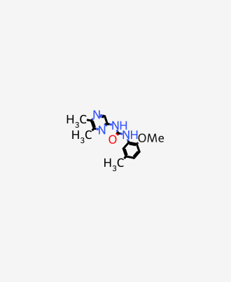 COc1ccc(C)cc1NC(=O)Nc1cnc(C)c(C)n1